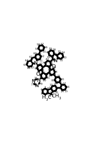 CC1(C)c2ccccc2-c2ccc(-c3ccccc3-c3ccc(-c4cc5oc6c(-c7nc8ccccc8c8ccccc78)ccc7c8cc(N9c%10ccc(-c%11ccccc%11)cc%10C=C%10C=CC=CC%109)cc9oc%10c(N%11C=NC=NC%11)ccc(c(c4)c5c67)c%10c98)cc3)cc21